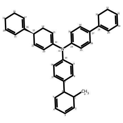 CC1C=CC=CC1c1ccc(N(C2=CC[C@H](C3=CCCC=C3)C=C2)c2ccc(C3=CC=CCC3)cc2)cc1